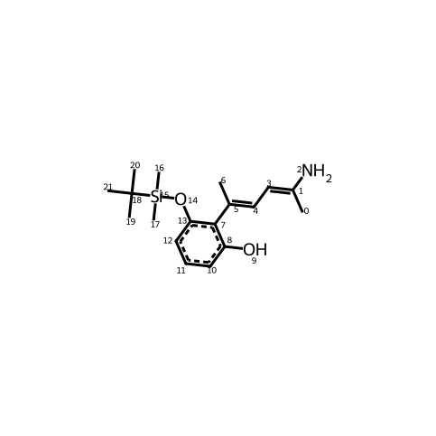 C/C(N)=C\C=C(/C)c1c(O)cccc1O[Si](C)(C)C(C)(C)C